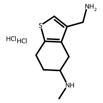 CNC1CCc2scc(CN)c2C1.Cl.Cl